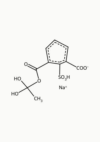 CC(O)(O)OC(=O)c1cccc(C(=O)[O-])c1S(=O)(=O)O.[Na+]